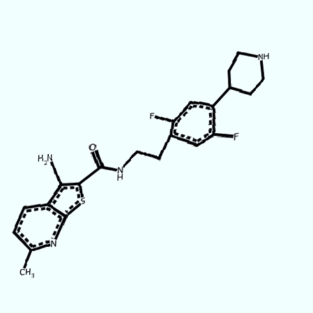 Cc1ccc2c(N)c(C(=O)NCCc3cc(F)c(C4CCNCC4)cc3F)sc2n1